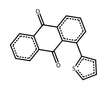 O=C1c2ccccc2C(=O)c2c1cccc2-c1cccs1